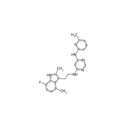 Cc1cccc(Nc2cc(NCCc3c(C)[nH]c4c(F)ccc(C)c34)ncn2)n1